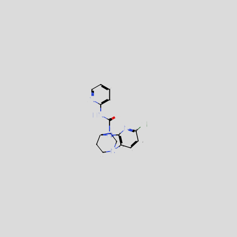 O=C(Nc1ccccn1)N1c2nc(Cl)ccc2N2CCC1CC2